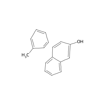 Cc1ccccc1.Oc1ccc2ccccc2c1